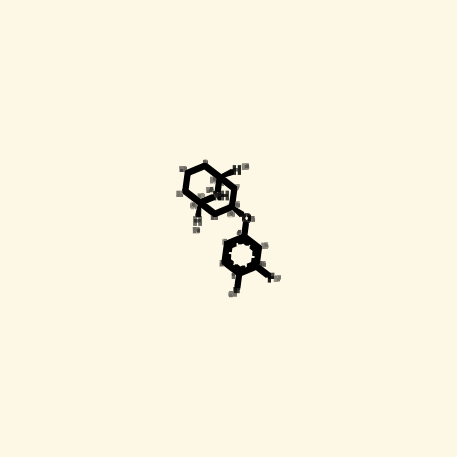 Fc1ccc(O[C@@H]2C[C@H]3CCC[C@@H](C2)N3)cc1F